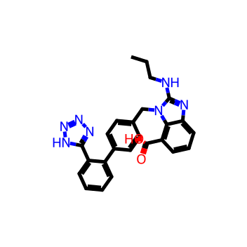 CCCNc1nc2cccc(C(=O)O)c2n1Cc1ccc(-c2ccccc2-c2nnn[nH]2)cc1